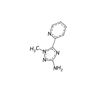 Cn1nc(N)nc1-c1ccccn1